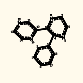 c1ccc(-c2nccnc2-c2cnccn2)cc1